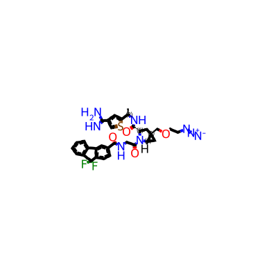 C[C@@H](NC(=O)[C@@H]1C[C@]2(COCCN=[N+]=[N-])C[C@@H]2N1C(=O)CNC(=O)c1ccc2c(c1)-c1ccccc1C2(F)F)c1cc(C(=N)N)cs1